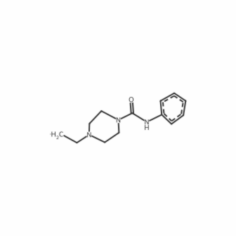 [CH2]CN1CCN(C(=O)Nc2ccccc2)CC1